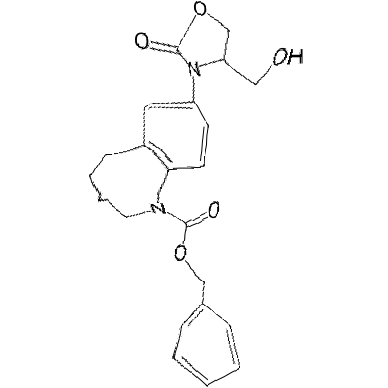 O=C(OCc1ccccc1)N1CCCCc2cc(N3C(=O)OCC3CO)ccc21